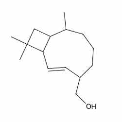 CC1CCCC(CO)/C=C/C2C1CC2(C)C